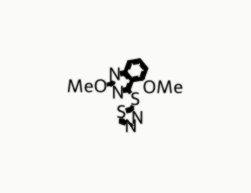 COc1nc(Sc2nncs2)c2c(OC)cccc2n1